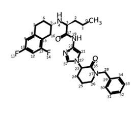 CCC[C@H](N[C@H]1CCc2cc(F)cc(F)c2C1)C(=O)Nc1cn(C2CCCN(Cc3ccccc3)C2=O)cn1